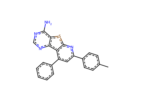 Cc1ccc(-c2cc(-c3ccccc3)c3c(n2)sc2c(N)ncnc23)cc1